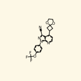 N#Cc1nn(-c2ccc(OC(F)(F)F)cc2)c2nccc(C3CC4(C3)OCCO4)c12